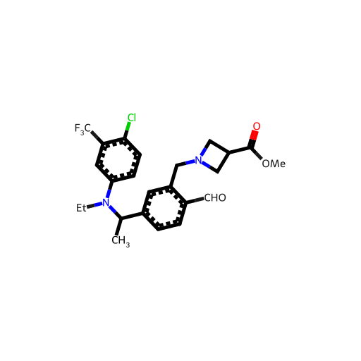 CCN(c1ccc(Cl)c(C(F)(F)F)c1)C(C)c1ccc(C=O)c(CN2CC(C(=O)OC)C2)c1